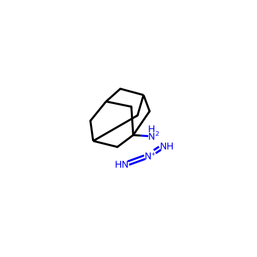 N=[N+]=N.NC12CC3CC(CC(C3)C1)C2